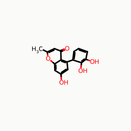 Cc1cc(=O)c2c(-c3cccc(O)c3O)cc(O)cc2o1